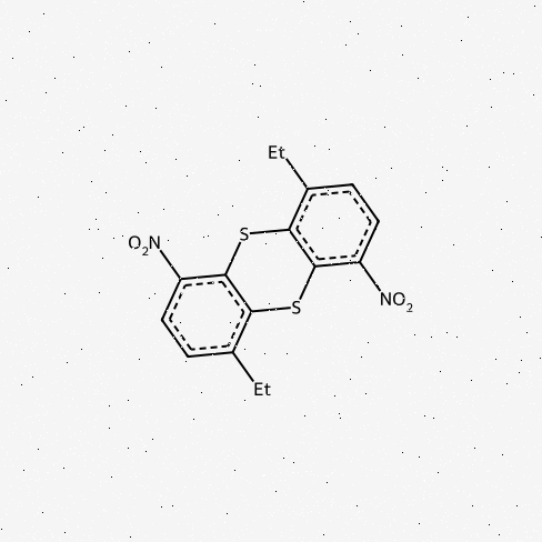 CCc1ccc([N+](=O)[O-])c2c1Sc1c([N+](=O)[O-])ccc(CC)c1S2